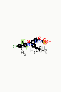 Cc1cc(Cl)ccc1-c1cc(F)c(NC(=O)C(Cc2ccc(C(=O)NCCS(=O)(=O)O)cc2)c2ccc(/C=C/C(C)(C)C)cc2)cc1C(F)(F)F